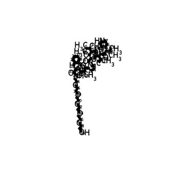 CC[C@H](C)[C@@H]([C@@H](CC(=O)N1CCC[C@H]1[C@H](OC)[C@@H](C)C(=O)N[C@@H](Cc1ccccc1)C(=O)NCCOCCOCCOCCOCCOCCO)OC)N(C)C(=O)[C@@H](NC(=O)[C@H](C(C)C)N1CCNCC1)C(C)C